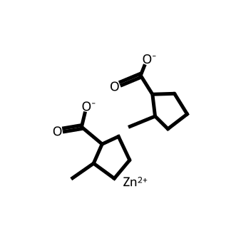 CC1CCCC1C(=O)[O-].CC1CCCC1C(=O)[O-].[Zn+2]